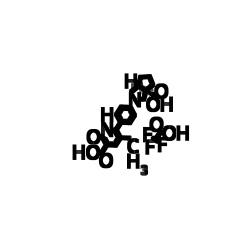 CCc1cc(C(=O)O)c(=O)[nH]c1-c1ccc(N2C[C@@H]3CCC[C@]3(C(=O)O)C2)cc1.O=C(O)C(F)(F)F